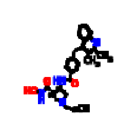 C#CCN1C[C@H](C(=O)NO)[C@H](NC(=O)c2ccc(Cc3c(C)c(C)nc4ccccc34)cc2)C1